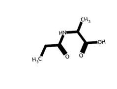 CCC(=O)NC(C)C(=O)O